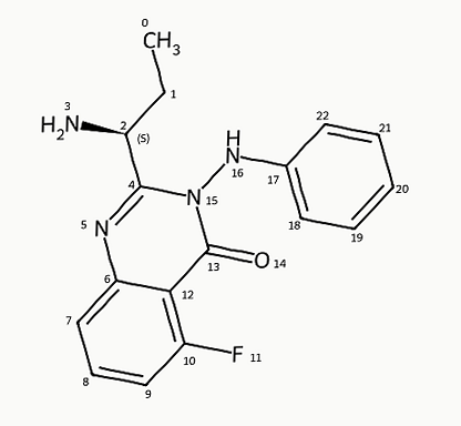 CC[C@H](N)c1nc2cccc(F)c2c(=O)n1Nc1ccccc1